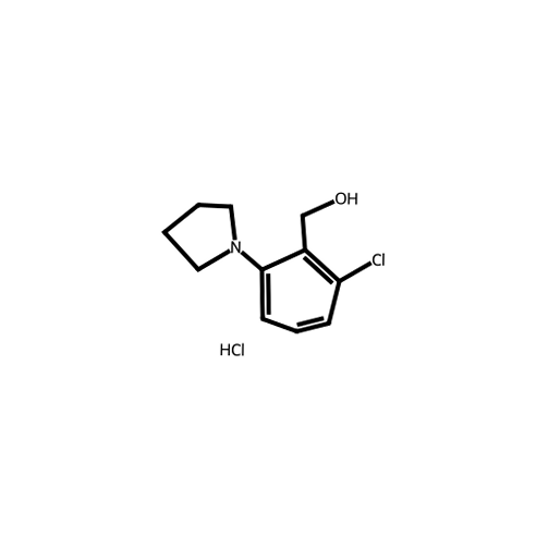 Cl.OCc1c(Cl)cccc1N1CCCC1